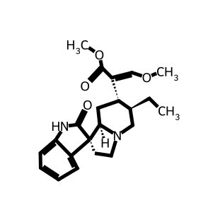 CC[C@H]1CN2CC[C@]3(C(=O)Nc4ccccc43)[C@H]2C[C@@H]1/C(=C\OC)C(=O)OC